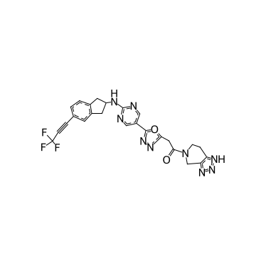 O=C(Cc1nnc(-c2cnc(NC3Cc4ccc(C#CC(F)(F)F)cc4C3)nc2)o1)N1CCc2[nH]nnc2C1